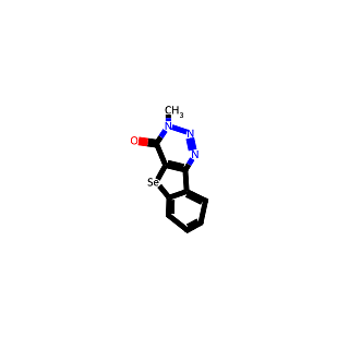 Cn1nnc2c([se]c3ccccc32)c1=O